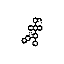 c1ccc(-c2ccc(-c3c4ccccc4c(-c4cccc5ccoc45)c4ccccc34)c3oc4cc5ccccc5cc4c23)cc1